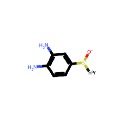 CCC[S+]([O-])c1ccc(N)c(N)c1